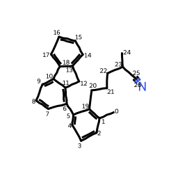 Cc1cccc(-c2cccc3c2Cc2ccccc2-3)c1CCCC(C)C#N